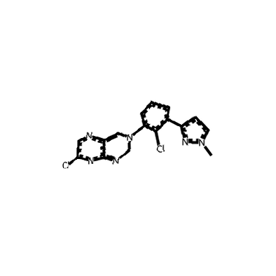 Cn1ccc(-c2cccc(N3C=c4ncc(Cl)nc4=NC3)c2Cl)n1